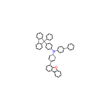 C1=CC(N(c2ccc(-c3ccccc3)cc2)c2ccc(C3(c4ccccc4)c4ccccc4-c4ccccc43)cc2)CC=C1c1cccc2c1oc1ccccc12